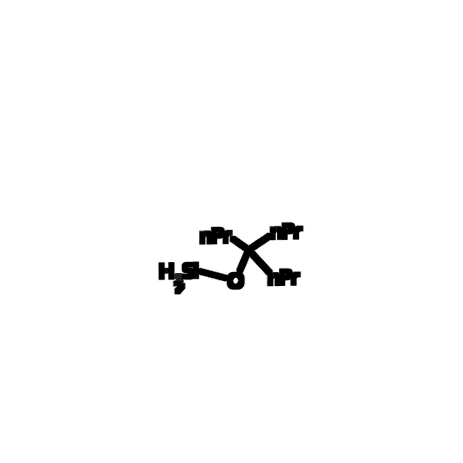 CCCC(CCC)(CCC)O[SiH2]C